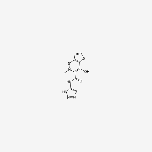 CN1Sc2ccsc2C(O)=C1C(=O)Nc1nnn[nH]1